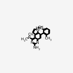 Cc1cccc(C)c1-c1cc2nc(N)nc(N(C)C)c2c2ccn(C)c12